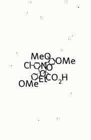 CCc1c(OC)cccc1[C@H]1O[C@H](CC(=O)O)C(=O)N(Cc2ccc(OC)cc2OC)c2ccc(Cl)cc21